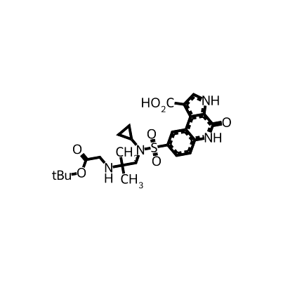 CC(C)(CN(C1CC1)S(=O)(=O)c1ccc2[nH]c(=O)c3[nH]cc(C(=O)O)c3c2c1)NCC(=O)OC(C)(C)C